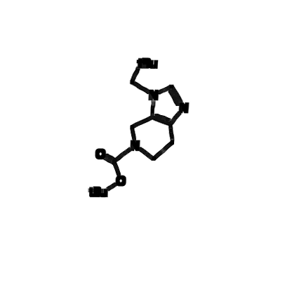 CC(C)(C)Cn1cnc2c1CN(C(=O)OC(C)(C)C)CC2